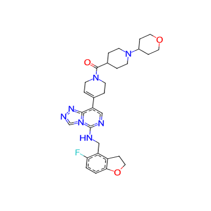 O=C(C1CCN(C2CCOCC2)CC1)N1CC=C(c2cnc(NCc3c(F)ccc4c3CCO4)n3cnnc23)CC1